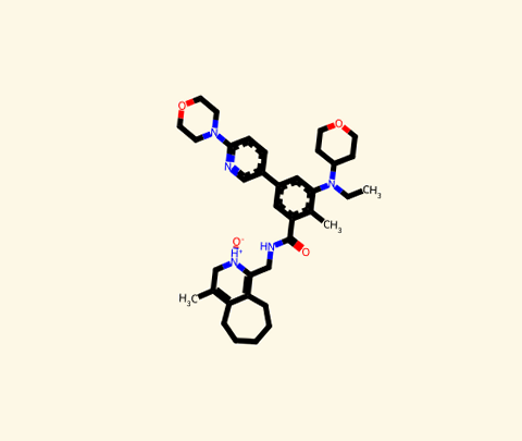 CCN(c1cc(-c2ccc(N3CCOCC3)nc2)cc(C(=O)NCC2=C3CCCCCC3=C(C)C[NH+]2[O-])c1C)C1CCOCC1